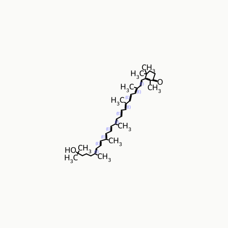 CC1=C(/C=C/C(C)=C/C=C/C(C)=C/C=C/C=C(C)/C=C/C=C(C)/C=C/C=C(\C)CCCC(C)(C)O)C(C)(C)CCC1=O